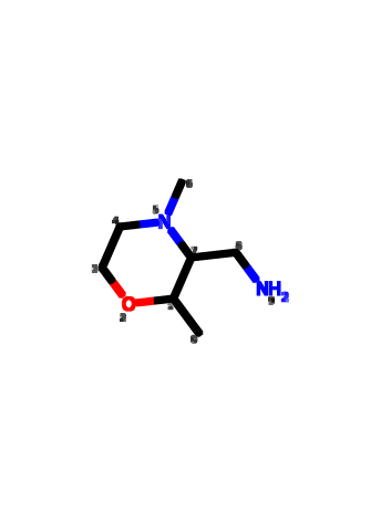 CC1OCCN(C)C1CN